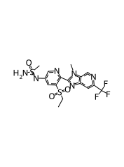 CCS(=O)(=O)c1cc(N=S(C)(N)=O)cnc1-c1nc2cc(C(F)(F)F)ncc2n1C